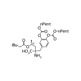 CCCCCOC(=O)Oc1ccc(CC(N)(C[C@H](C)OC(=O)CC(C)CC)C(=O)O)cc1OC(=O)OCCCCC